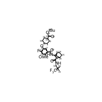 COc1cc(F)c(OC2CCC(C(=O)OC(C)(C)C)CC2)cc1C(=O)NC1C2CCC(C2)C1C(=O)NCC(C)(C)C(F)(F)F